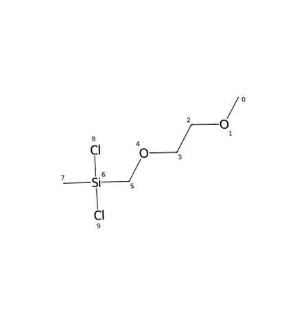 COCCOC[Si](C)(Cl)Cl